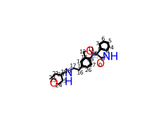 O=C1Nc2ccccc2/C1=C1\OCc2cc(CCNCC3CCOCC3)ccc21